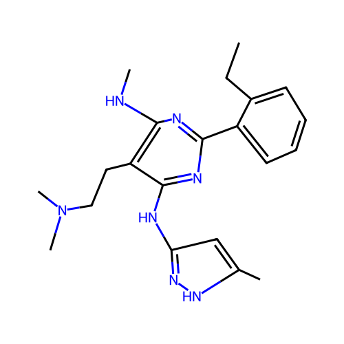 CCc1ccccc1-c1nc(NC)c(CCN(C)C)c(Nc2cc(C)[nH]n2)n1